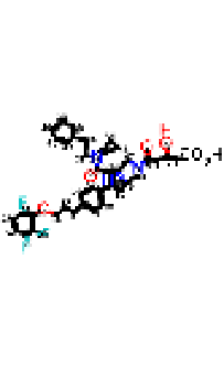 O=C(O)CC(O)CC(=O)N1CC2CC(c3ccc(CCCOc4c(F)ccc(F)c4F)cc3)=C(C(=O)N(CCc3ccccc3)C3CC3)C(C1)N2